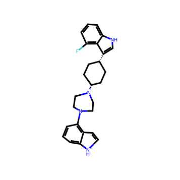 Fc1cccc2[nH]cc([C@H]3CC[C@@H](N4CCN(c5cccc6[nH]ccc56)CC4)CC3)c12